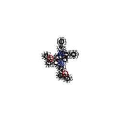 c1ccc(-n2c3ccc(-c4cccc5c4oc4ccccc45)cc3c3cc(-c4cccc5c4oc4ccccc45)ccc32)c(-c2ccccc2-n2c3c(c4cc(-c5ccccc5)ccc42)C=C(c2ccccc2)CC3)c#1